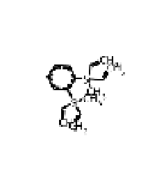 C=C[Si](C)(C=C)c1ccccc1[Si](C)(C=C)C=C